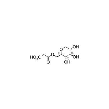 O=C(O)CC(=O)OC[C@H]1OC[C](O)[C@@H](O)[C@@H]1O